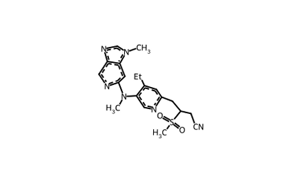 CCc1cc(CC(CC#N)S(C)(=O)=O)ncc1N(C)c1cc2c(cn1)ncn2C